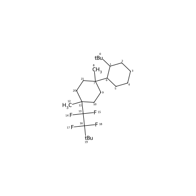 CC(C)(C)C1CCCCC1C1(C)CCC(C)(C(F)(F)C(F)(F)C(C)(C)C)CC1